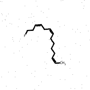 C/C=C\CCCC/C=C\C/C=C\CCF